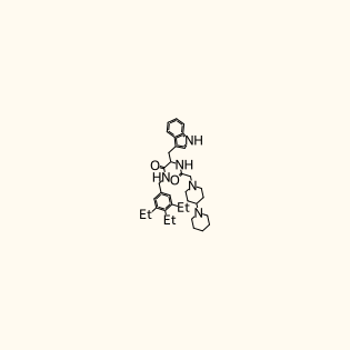 CCc1cc(CNC(=O)C(Cc2c[nH]c3ccccc23)NC(=O)CN2CCC(N3CCCCC3)CC2)cc(CC)c1CC